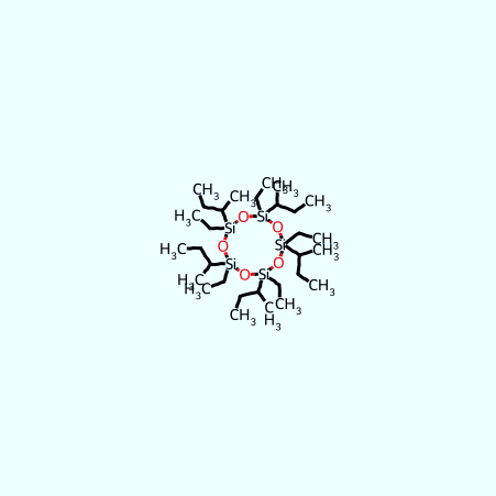 CCC(C)[Si]1(CC)O[Si](CC)(C(C)CC)O[Si](CC)(C(C)CC)O[Si](CC)(C(C)CC)O[Si](CC)(C(C)CC)O1